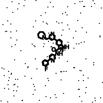 O=C(Nc1ccc(-c2cccc(F)c2)nc1)c1n[nH]c2ccc(-c3cncc(CN4CCCCCC4)c3)cc12